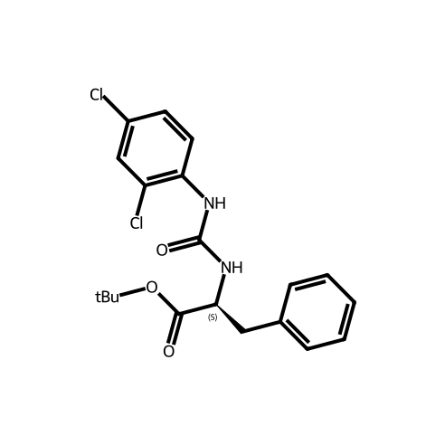 CC(C)(C)OC(=O)[C@H](Cc1ccccc1)NC(=O)Nc1ccc(Cl)cc1Cl